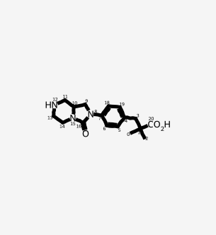 CC(C)(Cc1ccc(N2CC3CNCCN3C2=O)cc1)C(=O)O